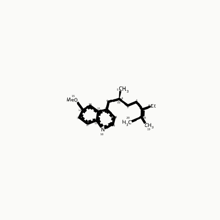 CCC(CC[C@H](C)Cc1ccnc2ccc(OC)cc12)=C(C)C